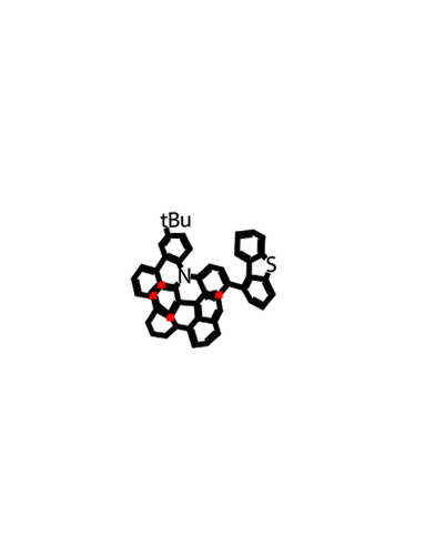 CC(C)(C)c1ccc(N(c2ccc(-c3cccc4sc5ccccc5c34)cc2)c2ccccc2-c2cccc3cccc(C4CCCCC4)c23)c(-c2ccccc2)c1